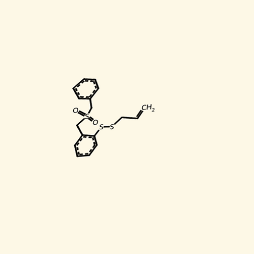 C=CCSSc1ccccc1CS(=O)(=O)Cc1ccccc1